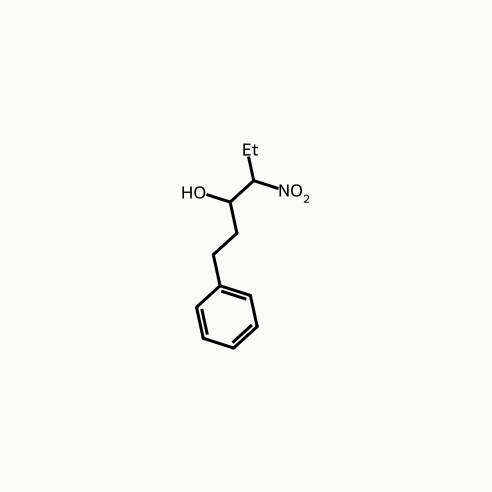 CCC(C(O)CCc1ccccc1)[N+](=O)[O-]